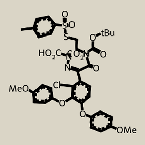 COc1ccc(Oc2ccc(/C(=N/N(C(=O)O)C(=O)O)C(=O)N(CCSS(=O)(=O)c3ccc(C)cc3)C(=O)OC(C)(C)C)c(Cl)c2Oc2ccc(OC)cc2)cc1